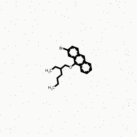 CCCCC(CC)COc1c2ccccc2cc2ccc(Br)cc12